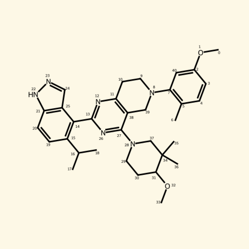 COc1ccc(C)c(N2CCc3nc(-c4c(C(C)C)ccc5[nH]ncc45)nc(N4CCC(OC)C(C)(C)C4)c3C2)c1